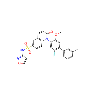 COc1cc(-c2cccc(C)c2)c(F)cc1-n1c(=O)ccc2cc(S(=O)(=O)Nc3ccon3)ccc21